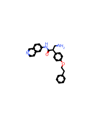 NCC(C(=O)Nc1ccc2cnccc2c1)c1ccc(OCCc2ccccc2)cc1